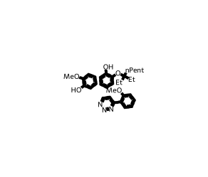 CCCCCC(CC)(CC)Oc1ccccc1O.COc1ccccc1-c1ccnnn1.COc1ccccc1O